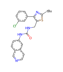 CC(C)(C)c1nc(-c2cccc(Cl)c2)c(CNC(=O)Nc2ccc3cnccc3c2)s1